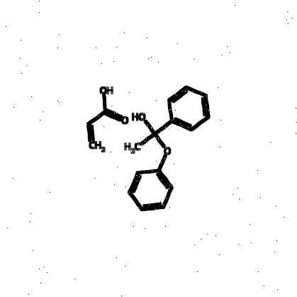 C=CC(=O)O.CC(O)(Oc1ccccc1)c1ccccc1